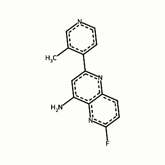 Cc1cnccc1-c1cc(N)c2nc(F)ccc2n1